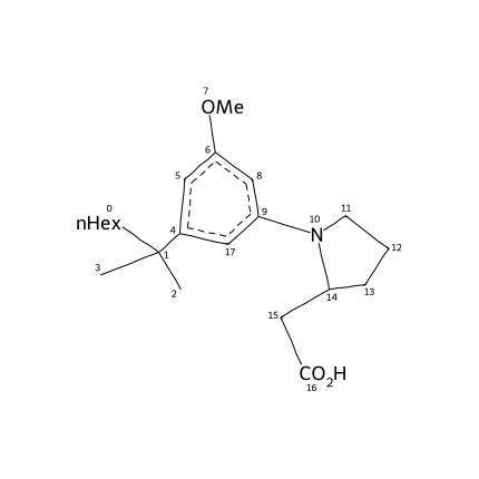 CCCCCCC(C)(C)c1cc(OC)cc(N2CCCC2CC(=O)O)c1